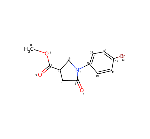 COC(=O)C1CC(=O)N(c2ccc(Br)cc2)C1